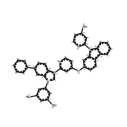 CC(C)(C)c1cc(-[n+]2cn(-c3cc(Oc4ccc5c6ccccc6n(-c6cc(C(C)(C)C)ccn6)c5c4)ccn3)c3ccc(-c4ccccc4)cc32)cc(C(C)(C)C)c1